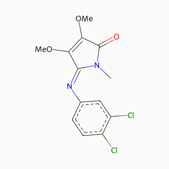 COC1=C(OC)C(=Nc2ccc(Cl)c(Cl)c2)N(C)C1=O